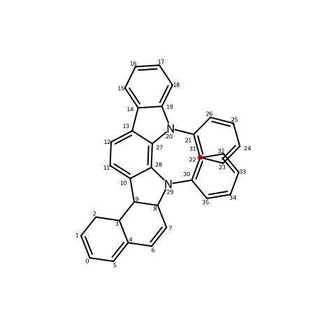 C1=CCC2C(=C1)C=CC1C2c2ccc3c4ccccc4n(-c4ccccc4)c3c2N1c1ccccc1